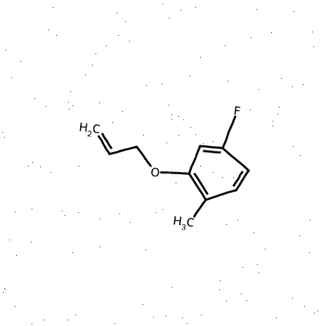 C=CCOc1cc(F)ccc1C